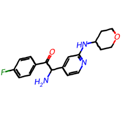 NC(C(=O)c1ccc(F)cc1)c1ccnc(NC2CCOCC2)c1